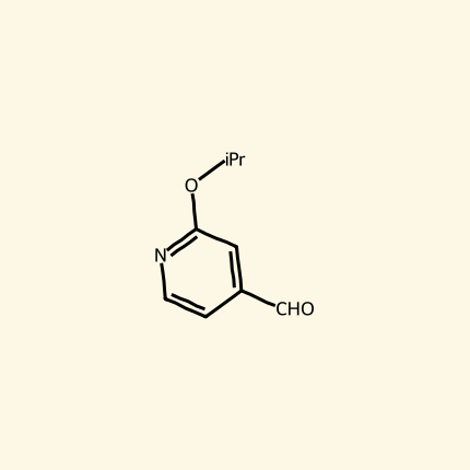 CC(C)Oc1cc(C=O)ccn1